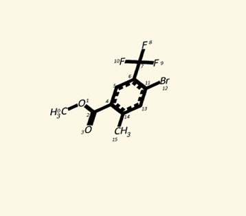 COC(=O)c1cc(C(F)(F)F)c(Br)cc1C